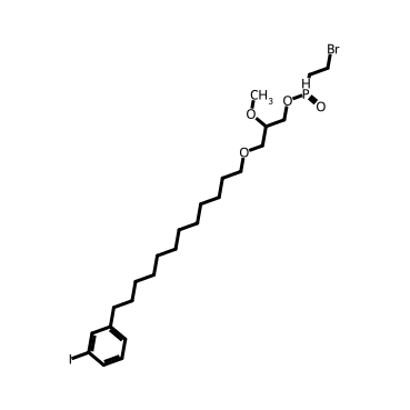 COC(COCCCCCCCCCCCCc1cccc(I)c1)CO[PH](=O)CCBr